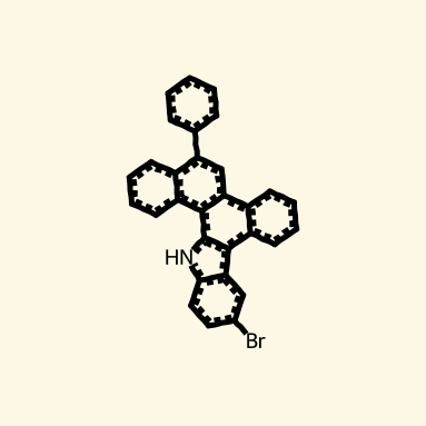 Brc1ccc2[nH]c3c(c2c1)c1ccccc1c1cc(-c2ccccc2)c2ccccc2c13